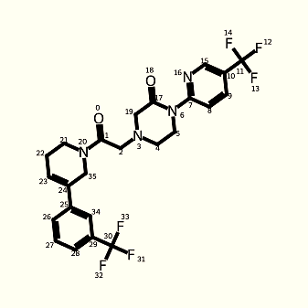 O=C(CN1CCN(c2ccc(C(F)(F)F)cn2)C(=O)C1)N1CCC=C(c2cccc(C(F)(F)F)c2)C1